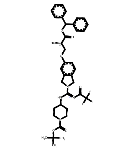 CC(C)(C)OC(=O)N1CCC(N/C(=N/C(=O)C(F)(F)F)N2Cc3ccc(OC[C@@H](O)C(=O)OC(c4ccccc4)c4ccccc4)cc3C2)CC1